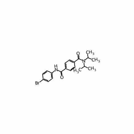 CC(C)N(C(=O)c1ccc(C(=O)Nc2ccc(Br)cc2)cc1)C(C)C